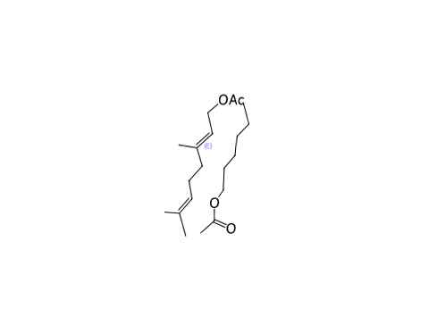 CC(=O)OC/C=C(\C)CCC=C(C)C.CCCCCCOC(C)=O